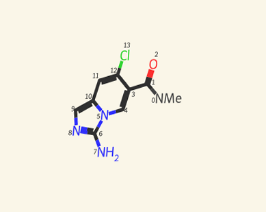 CNC(=O)c1cn2c(N)ncc2cc1Cl